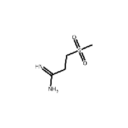 CS(=O)(=O)CCC(=N)N